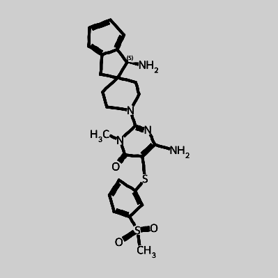 Cn1c(N2CCC3(CC2)Cc2ccccc2[C@H]3N)nc(N)c(Sc2cccc(S(C)(=O)=O)c2)c1=O